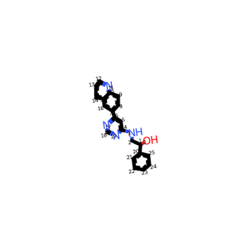 OC(CNc1cc(-c2ccc3ncccc3c2)ncn1)c1ccccc1